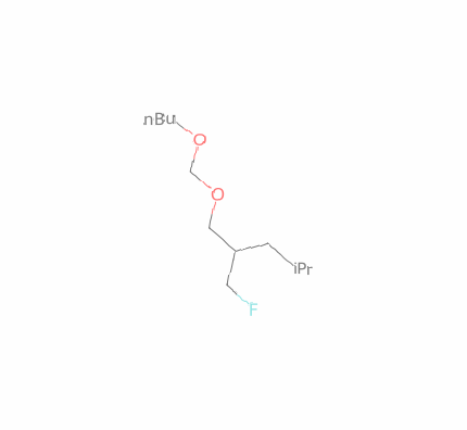 CCCCOCOCC(CF)CC(C)C